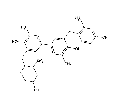 Cc1cc(O)ccc1Cc1cc(-c2cc(C)c(O)c(CC3CCC(O)CC3C)c2)cc(C)c1O